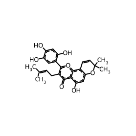 CC(C)=CCc1c(-c2cc(O)c(O)cc2O)oc2c3c(cc(O)c2c1=O)OC(C)(C)C=C3